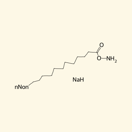 CCCCCCCCCCCCCCCCCCCCC(=O)ON.[NaH]